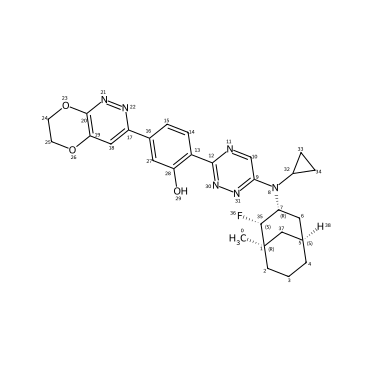 C[C@]12CCC[C@H](C[C@@H](N(c3cnc(-c4ccc(-c5cc6c(nn5)OCCO6)cc4O)nn3)C3CC3)[C@H]1F)C2